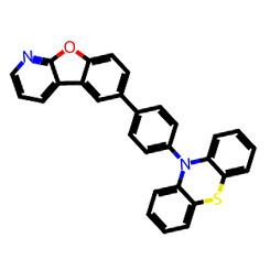 c1ccc2c(c1)Sc1ccccc1N2c1ccc(-c2ccc3oc4ncccc4c3c2)cc1